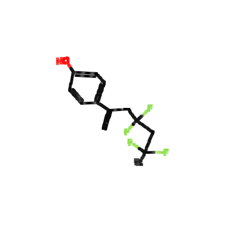 C=C(CC(F)(F)CC(F)(F)CC)c1ccc(O)cc1